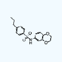 CCCc1ccc(S(=O)(=O)Nc2ccc3c(c2)OCCO3)cc1